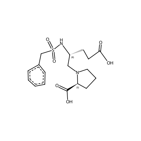 O=C(O)CC[C@H](CN1CCC[C@H]1C(=O)O)NS(=O)(=O)Cc1ccccc1